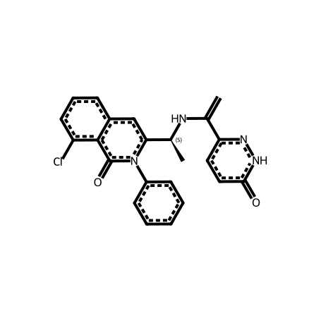 C=C(N[C@@H](C)c1cc2cccc(Cl)c2c(=O)n1-c1ccccc1)c1ccc(=O)[nH]n1